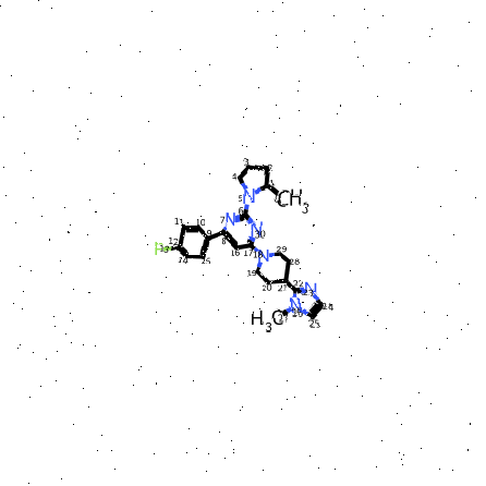 CC1CCCN1c1nc(-c2ccc(F)cc2)cc(N2CCC(c3nccn3C)CC2)n1